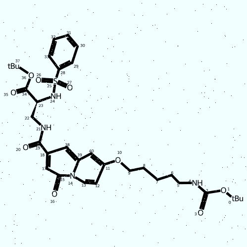 CC(C)(C)OC(=O)NCCCCCOc1ccn2c(=O)cc(C(=O)NC[C@H](NS(=O)(=O)c3ccccc3)C(=O)OC(C)(C)C)cc2c1